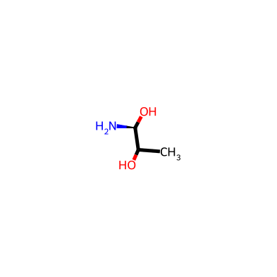 CC(O)[C@@H](N)O